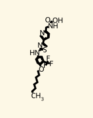 CCCCCCCCOc1ccc(Nc2nc(-c3ccc(CNC(=O)O)nc3)cs2)cc1C(F)(F)F